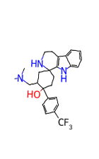 CN(C)CC1CC2(CCC1(O)c1ccc(C(F)(F)F)cc1)NCCc1c2[nH]c2ccccc12